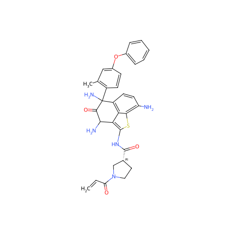 C=CC(=O)N1CC[C@@H](C(=O)Nc2sc3c(N)ccc4c3c2C(N)C(=O)C4(N)c2ccc(Oc3ccccc3)cc2C)C1